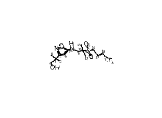 CC(C)(CO)c1cc(NCC(C)(C)S(=O)(=O)CCCC(F)(F)F)on1